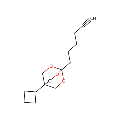 C#CCCCCC12OCC(C3CCC3)(CO1)CO2